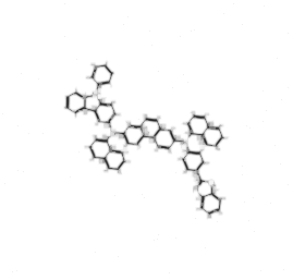 c1ccc(-n2c3ccccc3c3cc(N(c4ccc5c(ccc6cc(N(c7ccc(-c8nc9ccccc9o8)cc7)c7cccc8ccccc78)ccc65)c4)c4cccc5ccccc45)ccc32)cc1